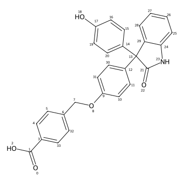 O=C(O)c1ccc(COc2ccc(C3(c4ccc(O)cc4)C(=O)Nc4ccccc43)cc2)cc1